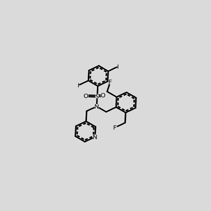 O=S(=O)(c1cc(I)ccc1I)N(Cc1cccnc1)Cc1c(CF)cccc1CF